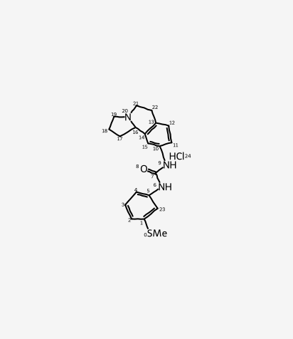 CSc1cccc(NC(=O)Nc2ccc3c(c2)C2CCCN2CC3)c1.Cl